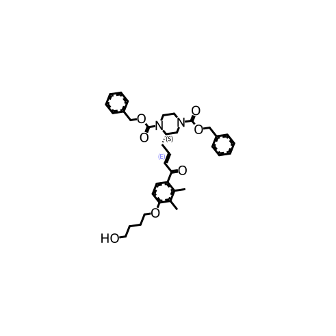 Cc1c(OCCCCO)ccc(C(=O)/C=C/C[C@H]2CN(C(=O)OCc3ccccc3)CCN2C(=O)OCc2ccccc2)c1C